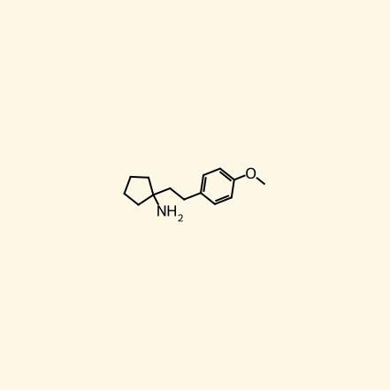 COc1ccc(CCC2(N)CCCC2)cc1